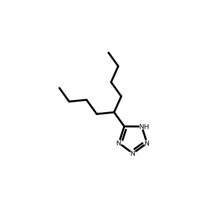 CCCCC(CCCC)c1nnn[nH]1